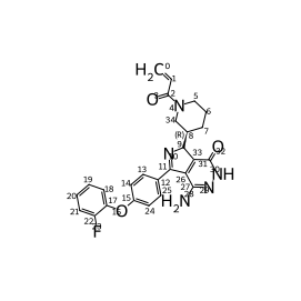 C=CC(=O)N1CCC[C@@H](C2N=C(c3ccc(Oc4ccccc4F)cc3)c3c(N)n[nH]c(=O)c32)C1